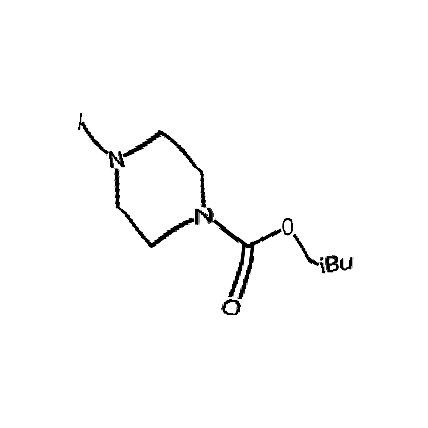 CCC(C)OC(=O)N1CCN(I)CC1